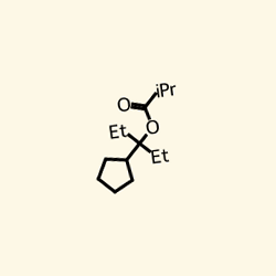 CCC(CC)(OC(=O)C(C)C)C1CCCC1